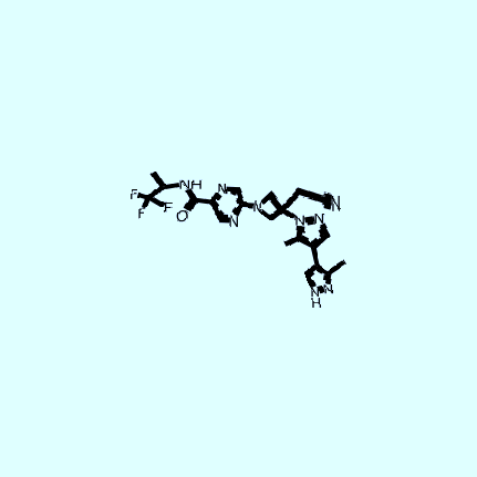 Cc1n[nH]cc1-c1cnn(C2(CC#N)CN(c3cnc(C(=O)NC(C)C(F)(F)F)cn3)C2)c1C